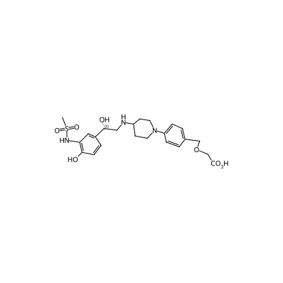 CS(=O)(=O)Nc1cc([C@H](O)CNC2CCN(c3ccc(COCC(=O)O)cc3)CC2)ccc1O